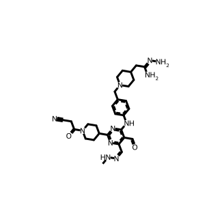 CN/N=C\c1nc(C2CCN(C(=O)CC#N)CC2)nc(Nc2ccc(CN3CCC(C/C(N)=N/N)CC3)cc2)c1C=O